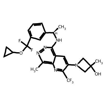 Cc1nnc(N[C@H](C)c2cccc(C(F)(F)OC3CC3)c2)c2cc(N3CC(C)(O)C3)c(C(F)(F)F)nc12